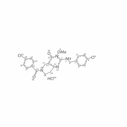 COn1c(NCc2ccc(Cl)cc2)nc2c(c1=O)CN(C(=O)c1ccc(Cl)cc1)CC2.Cl